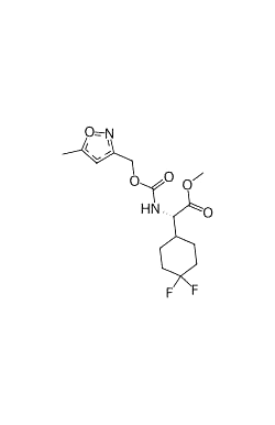 COC(=O)[C@@H](NC(=O)OCc1cc(C)on1)C1CCC(F)(F)CC1